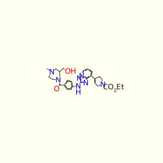 CCOC(=O)N1CC=C(c2cccn3nc(Nc4ccc(C(=O)N5CCN(C)CC(CO)C5)cc4)nc23)CC1